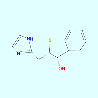 O[C@H]1c2ccccc2S[C@H]1Cc1ncc[nH]1